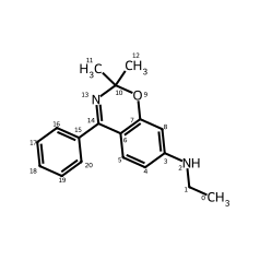 CCNc1ccc2c(c1)OC(C)(C)N=C2c1ccccc1